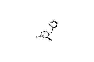 [CH2-][NH+]1CCN(Cc2ccccc2)C(=O)C1